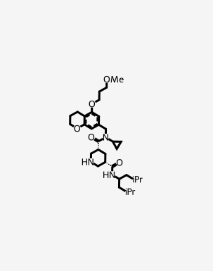 COCCCOc1cc(CN(C(=O)[C@H]2CNC[C@@H](C(=O)NC(CC(C)C)CC(C)C)C2)C2CC2)cc2c1CCCO2